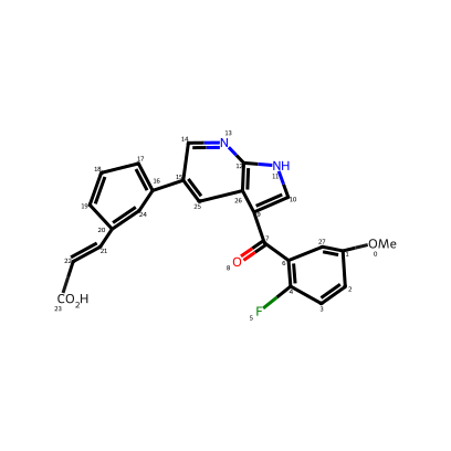 COc1ccc(F)c(C(=O)c2c[nH]c3ncc(-c4cccc(/C=C/C(=O)O)c4)cc23)c1